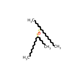 CCCCC=CC(CCCCCCCCCCC)SOSC(C=CCCCC)CCCCCCCCCCC